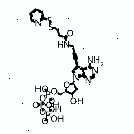 Nc1ncnc2c1c(C#CCNC(=O)CCSSc1ccccn1)cn2[C@H]1C[C@@H](O)[C@@H](COP(=O)(O)OP(=O)(O)OP(=O)(O)O)O1